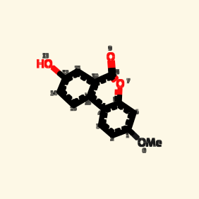 COc1ccc2c(c1)oc(=O)c1cc(O)ccc12